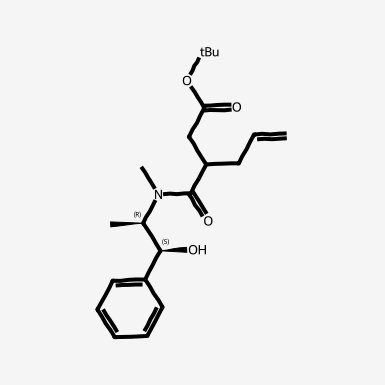 C=CCC(CC(=O)OC(C)(C)C)C(=O)N(C)[C@H](C)[C@@H](O)c1ccccc1